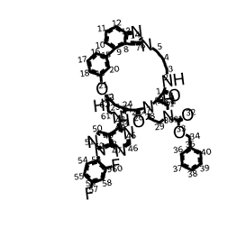 O=C1NCCCn2cc3c(cccc3n2)-c2cccc(c2)O[C@H]2C[C@@H](C(=O)N3CCN(C(=O)OCc4ccccc4)C[C@@H]13)N(c1ncnc3c1cnn3-c1ccc(F)cc1F)C2